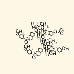 COc1ccc(C(=O)N2CCc3cc(C(=O)NC[C@@H](O)[C@@H]4Cc5ccc(O)cc5CN4C(=O)OC(C)(C)C)ccc3C2)cc1.COc1ccc(C(=O)N2CCc3cc(C(=O)NC[C@@H](O)[C@@H]4Cc5ccc(OCc6cnco6)cc5CN4C(=O)OC(C)(C)C)ccc3C2)cc1